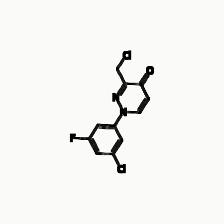 O=c1ccn(-c2cc(F)cc(Cl)c2)nc1CCl